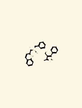 Cc1noc(-c2ccccc2)c1COc1cccc(C(=O)N(N)C(=O)c2ccc3ccccc3n2)c1